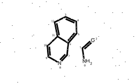 NC=O.c1ccc2cnccc2c1